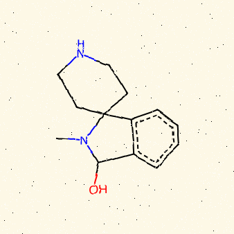 CN1C(O)c2ccccc2C12CCNCC2